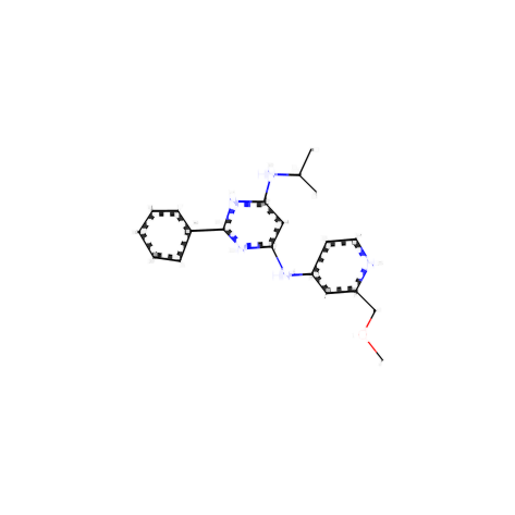 COCc1cc(Nc2cc(NC(C)C)nc(-c3ccccc3)n2)ccn1